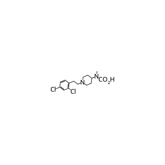 CN(C(=O)O)C1CCN(CCc2ccc(Cl)cc2Cl)CC1